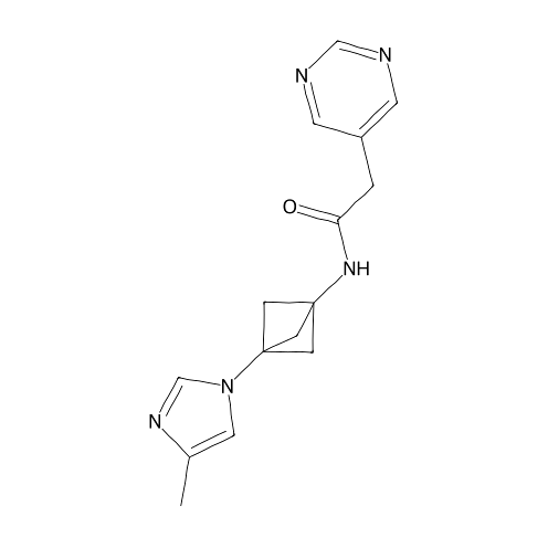 Cc1cn(C23CC(NC(=O)Cc4cncnc4)(C2)C3)cn1